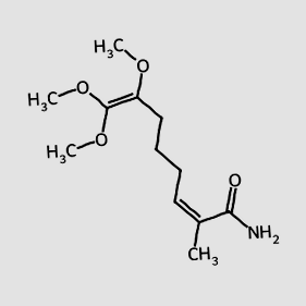 COC(CCCC=C(C)C(N)=O)=C(OC)OC